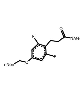 CCCCCCCCCCOc1cc(F)c(CCC(=O)NC)c(F)c1